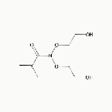 C=C(C)C(=O)N(OCCO)OCCO